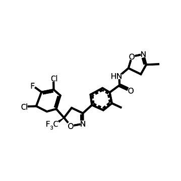 CC1=NOC(NC(=O)c2ccc(C3=NO[C@@](C4=CC(Cl)=C(F)C(Cl)C4)(C(F)(F)F)C3)cc2C)C1